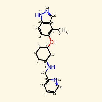 Cc1c(O[C@@H]2CCC[C@H](NCc3ccccn3)C2)ccc2[nH]ncc12